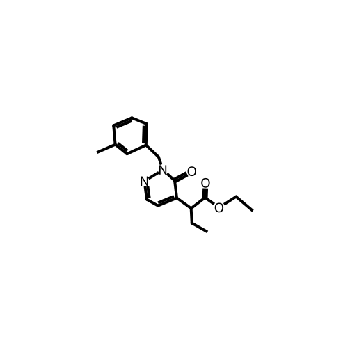 CCOC(=O)C(CC)c1ccnn(Cc2cccc(C)c2)c1=O